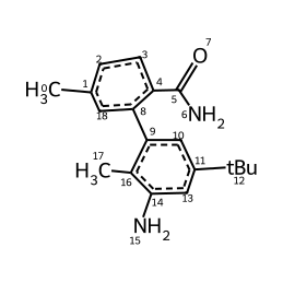 Cc1ccc(C(N)=O)c(-c2cc(C(C)(C)C)cc(N)c2C)c1